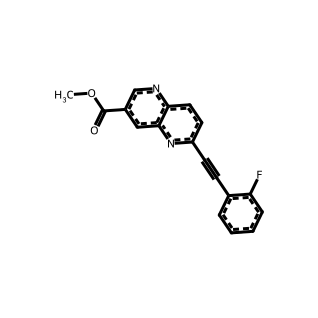 COC(=O)c1cnc2ccc(C#Cc3ccccc3F)nc2c1